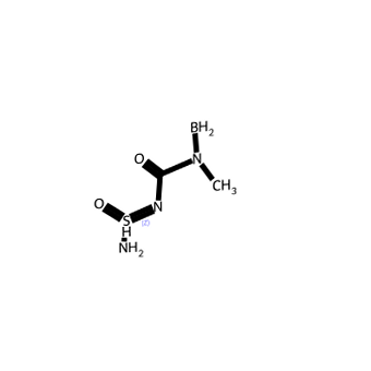 BN(C)C(=O)/N=[SH](/N)=O